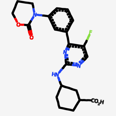 O=C(O)C1CCCC(Nc2ncc(F)c(-c3cccc(N4CCCOC4=O)c3)n2)C1